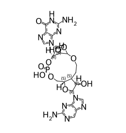 Nc1ncc2ncn([C@@H]3O[C@@H]4COP(=O)(O)O[C@@H]5[C@H](O)C(OCC[C@H]4[C@H]3O)O[C@H]5n3cnc4c(=O)[nH]c(N)nc43)c2n1